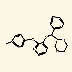 Fc1ccc(Oc2ncccc2O[C@@H](c2ccccc2)[C@@H]2CNCCO2)cc1